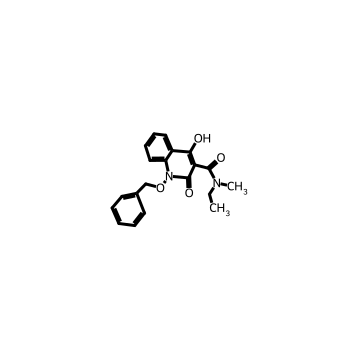 CCN(C)C(=O)c1c(O)c2ccccc2n(OCc2ccccc2)c1=O